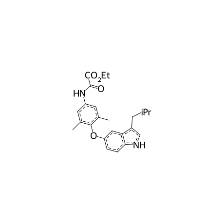 CCOC(=O)C(=O)Nc1cc(C)c(Oc2ccc3[nH]cc(CC(C)C)c3c2)c(C)c1